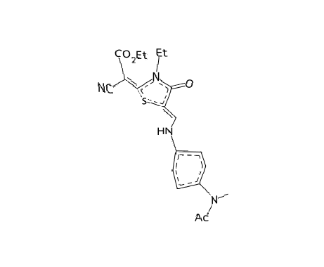 CCOC(=O)C(C#N)=c1sc(=CNc2ccc(N(C)C(C)=O)cc2)c(=O)n1CC